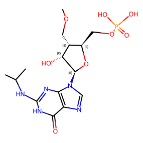 COC[C@H]1[C@@H](O)[C@H](n2cnc3c(=O)[nH]c(NC(C)C)nc32)O[C@@H]1COP(=O)(O)O